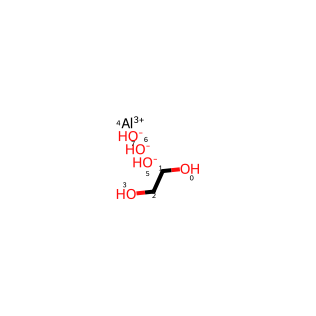 OCCO.[Al+3].[OH-].[OH-].[OH-]